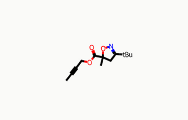 CC#CCOC(=O)C1(C)CC(C(C)(C)C)=NO1